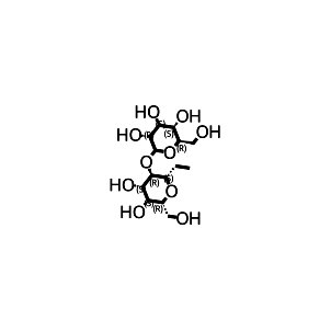 CC[C@@H]1O[C@H](CO)[C@@H](O)[C@H](O)[C@H]1OC1O[C@H](CO)[C@@H](O)[C@H](O)[C@H]1O